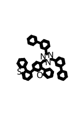 c1ccc(-c2cccc(-c3nc(-c4cccc(-c5ccccc5)c4)nc(-c4ccc(-c5cccc6sc7ccccc7c56)c5oc6ccccc6c45)n3)c2)cc1